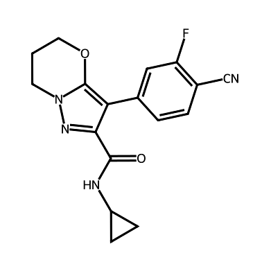 N#Cc1ccc(-c2c(C(=O)NC3CC3)nn3c2OCCC3)cc1F